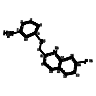 Nc1cccc(SCc2ccc3ccc(F)cc3n2)c1